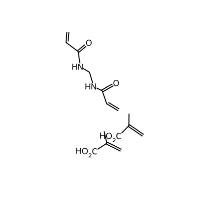 C=C(C)C(=O)O.C=C(C)C(=O)O.C=CC(=O)NCNC(=O)C=C